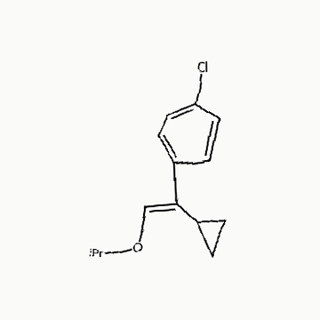 CC(C)O/C=C(/c1ccc(Cl)cc1)C1CC1